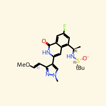 CO/C=C/c1nn(C)cc1-c1cc2c([C@@H](C)N[S@+]([O-])C(C)(C)C)cc(F)cc2c(=O)[nH]1